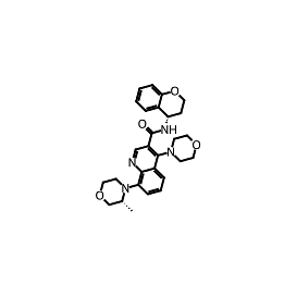 C[C@@H]1COCCN1c1cccc2c(N3CCOCC3)c(C(=O)N[C@H]3CCOc4ccccc43)cnc12